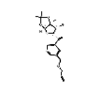 C=CCOCc1cccc(C(=O)[C@@H]2O[C@H]3OC(C)(C)O[C@H]3[C@@H]2O)c1